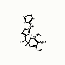 COC1=CC(C)(C(O)c2csc(Nc3ccccc3)n2)CC(OC)=C1OC